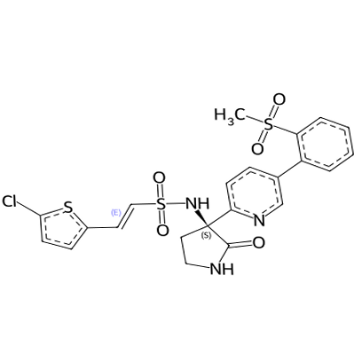 CS(=O)(=O)c1ccccc1-c1ccc([C@@]2(NS(=O)(=O)/C=C/c3ccc(Cl)s3)CCNC2=O)nc1